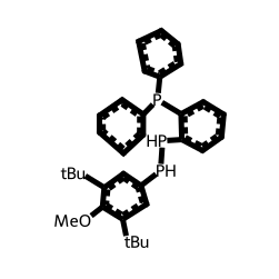 COc1c(C(C)(C)C)cc(PPc2ccccc2P(c2ccccc2)c2ccccc2)cc1C(C)(C)C